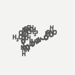 Cc1cc(-c2n[nH]c3ncc(-c4ccc(N5CCN(CCc6ccc([C@@H]7CCC(=O)NC7=O)c(F)c6)CC5)cn4)cc23)ccc1[C@@H](C)NC(=O)c1noc(C(C)(C)C)n1